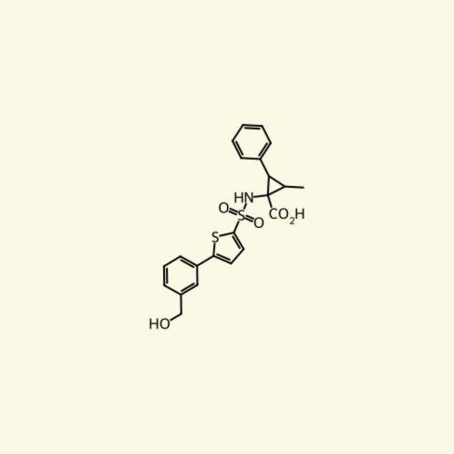 CC1C(c2ccccc2)C1(NS(=O)(=O)c1ccc(-c2cccc(CO)c2)s1)C(=O)O